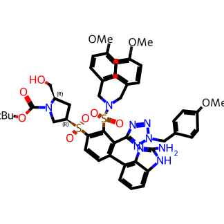 COc1ccc(CN(Cc2ccc(OC)cc2)S(=O)(=O)c2c(S(=O)(=O)[C@@H]3C[C@H](CO)N(C(=O)OC(C)(C)C)C3)ccc(-c3cccc4[nH]c(N)nc34)c2-c2nnn(Cc3ccc(OC)cc3)n2)cc1